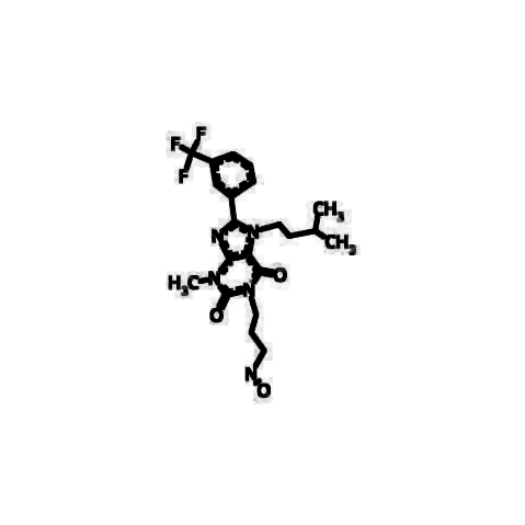 CC(C)CCn1c(-c2cccc(C(F)(F)F)c2)nc2c1c(=O)n(CCCN=O)c(=O)n2C